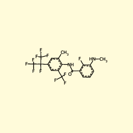 CNc1cccc(C(=O)Nc2c(C)cc(C(F)(C(F)(F)F)C(F)(F)F)cc2C(F)(F)F)c1F